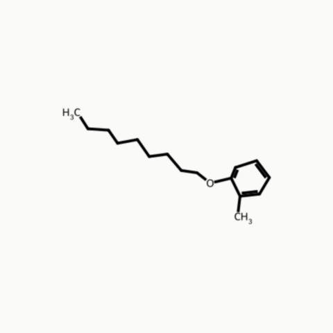 CCCCCCCCCOc1ccccc1C